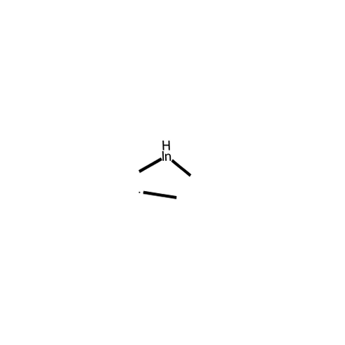 [CH2]C.[CH3][InH][CH3]